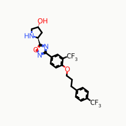 O[C@H]1CN[C@H](c2nc(-c3ccc(OCCCc4ccc(C(F)(F)F)cc4)c(C(F)(F)F)c3)no2)C1